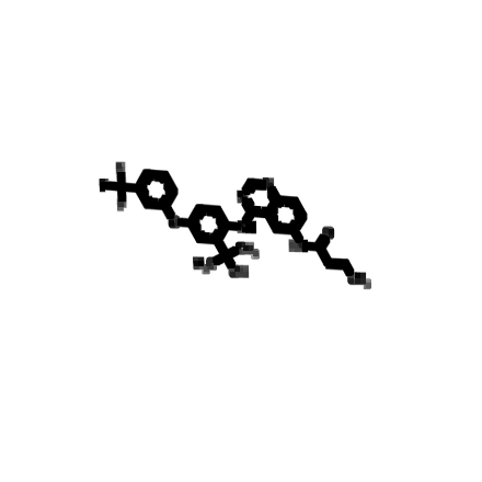 CC=CC(=O)Nc1ccc2ncnc(Nc3ccc(Oc4cccc(C(F)(F)F)c4)cc3C(C)(C)O)c2c1